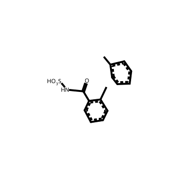 Cc1ccccc1.Cc1ccccc1C(=O)NS(=O)(=O)O